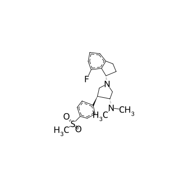 CN(C)[C@H]1CN([C@H]2CCc3cccc(F)c32)C[C@@H]1c1ccc(S(C)(=O)=O)cc1